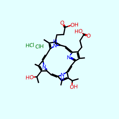 CC1=C(CCC(=O)O)c2cc3[nH]c(cc4nc(cc5[nH]c(cc1n2)c(C(C)O)c5C)C(C(C)O)=C4C)c(C)c3CCC(=O)O.Cl.Cl